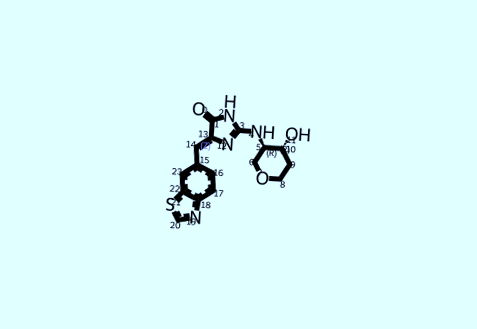 O=C1NC(N[C@@H]2COCC[C@H]2O)=N/C1=C\c1ccc2ncsc2c1